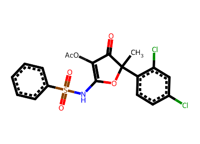 CC(=O)OC1=C(NS(=O)(=O)c2ccccc2)OC(C)(c2ccc(Cl)cc2Cl)C1=O